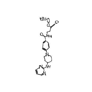 CC(C)(C)OOC(=O)CCNC(=O)c1ccc(N2CCC(Nc3ncccn3)CC2)cc1